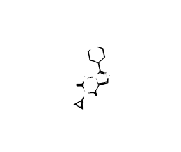 O=c1[nH]n2c(C3CCOCC3)ncc2c(=O)n1C1CC1